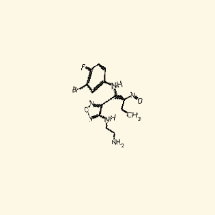 CC/C(N=O)=C(/Nc1ccc(F)c(Br)c1)c1nonc1NCCN